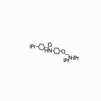 CC(C)c1ccc(C(=O)Nc2ccc(OCCN(C(C)C)C(C)C)cc2)cc1